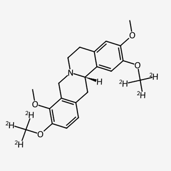 [2H]C([2H])([2H])Oc1cc2c(cc1OC)CCN1Cc3c(ccc(OC([2H])([2H])[2H])c3OC)C[C@@H]21